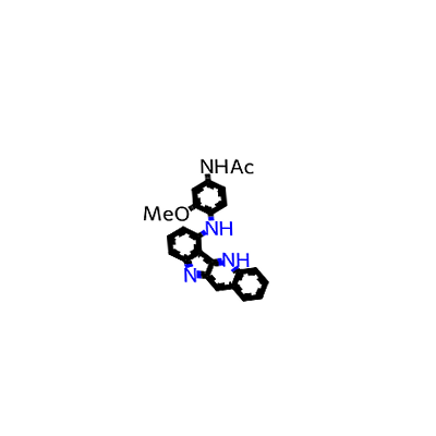 COc1cc(NC(C)=O)ccc1Nc1cccc2nc3cc4ccccc4[nH]c-3c12